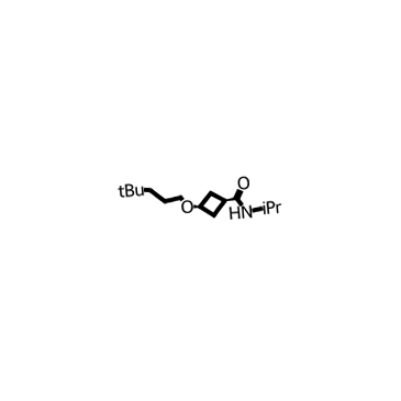 CC(C)NC(=O)[C@H]1C[C@@H](OCCCC(C)(C)C)C1